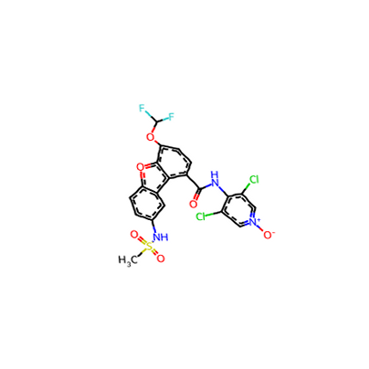 CS(=O)(=O)Nc1ccc2oc3c(OC(F)F)ccc(C(=O)Nc4c(Cl)c[n+]([O-])cc4Cl)c3c2c1